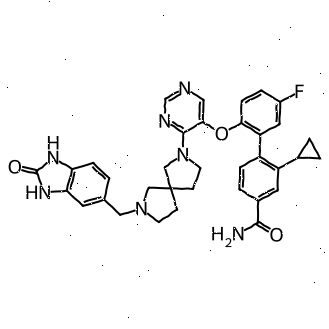 NC(=O)c1ccc(-c2cc(F)ccc2Oc2cncnc2N2CCC3(CCN(Cc4ccc5[nH]c(=O)[nH]c5c4)C3)C2)c(C2CC2)c1